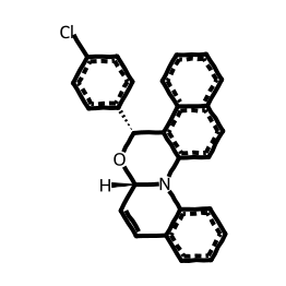 Clc1ccc([C@H]2O[C@H]3C=Cc4ccccc4N3c3ccc4ccccc4c32)cc1